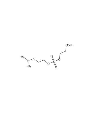 CCCCCCCCCCCCOS(=O)(=O)OCCCN(CCC)CCC